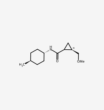 COC[C@@H]1CC1C(=O)N[C@H]1CC[C@H](C)CC1